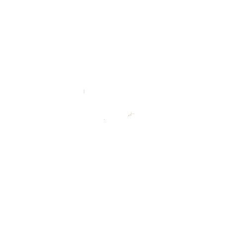 CC1(C)COP(S)(S)(P(c2ccccc2)(c2ccccc2)(c2ccccc2)c2ccccc2)OC1